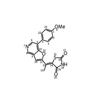 COc1ccc(-c2cncc3cc(C(C)=C4SC(=O)NC4=O)oc23)cc1